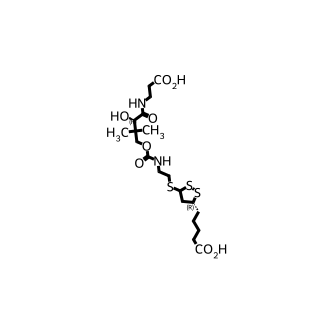 CC(C)(COC(=O)NCCSC1C[C@@H](CCCCC(=O)O)SS1)[C@@H](O)C(=O)NCCC(=O)O